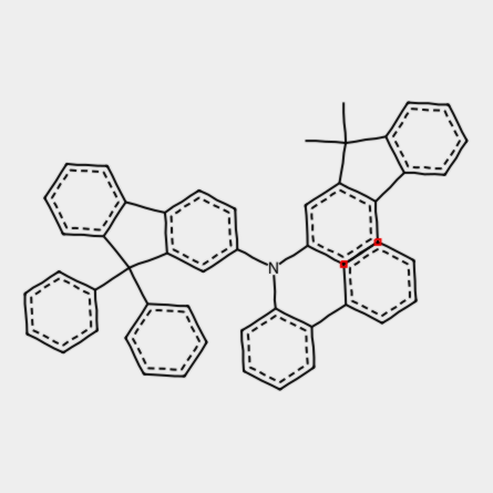 CC1(C)c2ccccc2-c2ccc(N(c3ccc4c(c3)C(c3ccccc3)(c3ccccc3)c3ccccc3-4)c3ccccc3-c3ccccc3)cc21